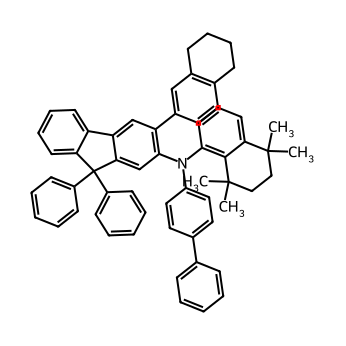 CC1(C)CCC(C)(C)c2c(N(c3ccc(-c4ccccc4)cc3)c3cc4c(cc3-c3ccc5c(c3)CCCC5)-c3ccccc3C4(c3ccccc3)c3ccccc3)cccc21